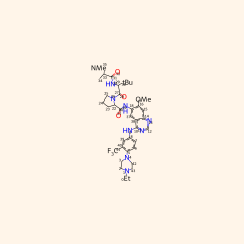 CCN1CCN(c2ccc(Nc3ncnc4cc(OC)c(NC(=O)C5CCCN5C(=O)C(NC(=O)C(C)NC)C(C)(C)C)cc34)cc2C(F)(F)F)CC1